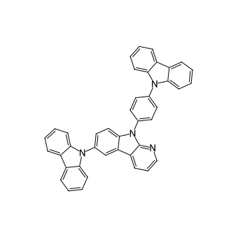 c1ccc2c(c1)c1ccccc1n2-c1ccc(-n2c3ccc(-n4c5ccccc5c5ccccc54)cc3c3cccnc32)cc1